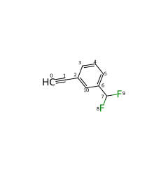 C#Cc1cccc(C(F)F)c1